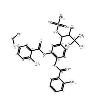 CCO.Cc1ccccc1C(=O)Oc1ccc(C(OS(C)(=O)=O)C(N)C(C)(C)C)cc1OC(=O)c1ccccc1C